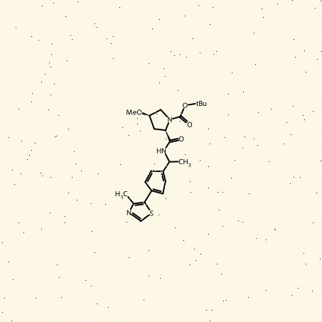 CO[C@@H]1C[C@H](C(=O)NC(C)c2ccc(-c3scnc3C)cc2)N(C(=O)OC(C)(C)C)C1